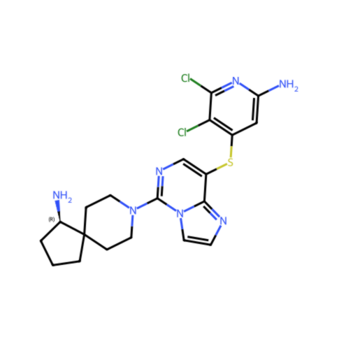 Nc1cc(Sc2cnc(N3CCC4(CCC[C@H]4N)CC3)n3ccnc23)c(Cl)c(Cl)n1